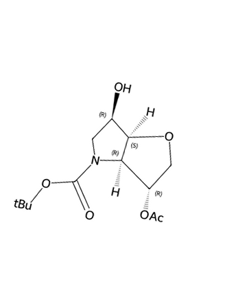 CC(=O)O[C@H]1CO[C@H]2[C@@H]1N(C(=O)OC(C)(C)C)C[C@H]2O